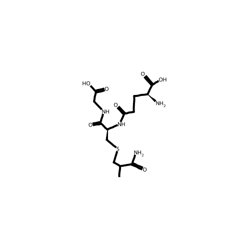 CC(CSC[C@H](NC(=O)CC[C@H](N)C(=O)O)C(=O)NCC(=O)O)C(N)=O